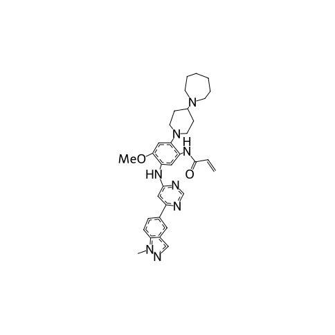 C=CC(=O)Nc1cc(Nc2cc(-c3ccc4c(cnn4C)c3)ncn2)c(OC)cc1N1CCC(N2CCCCCC2)CC1